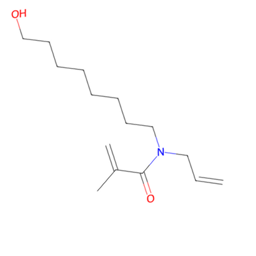 C=CCN(CCCCCCCCO)C(=O)C(=C)C